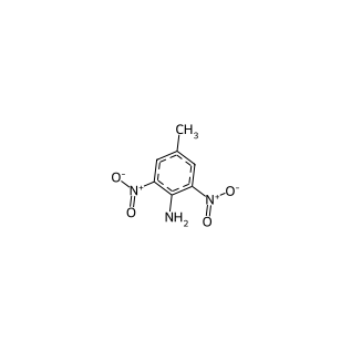 Cc1cc([N+](=O)[O-])c(N)c([N+](=O)[O-])c1